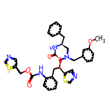 COc1cccc(CN(CCCc2ccccc2NC(=O)OCc2cncs2)C[C@H](Cc2ccccc2)NC(=O)OCc2cncs2)c1